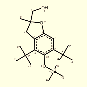 CC1(CO)Cc2c(cc(C(C)(C)C)c(O[Si](C)(C)C)c2C(C)(C)C)O1